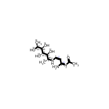 CC(=O)/N=C(N)\C=C/N[C@H](C)[C@H](O)[C@H](O)[C@H](O)[C@H](C)O